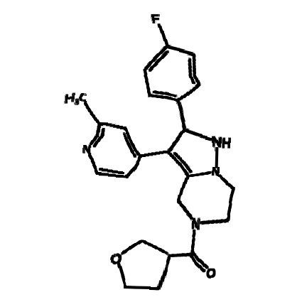 Cc1cc(C2=C3CN(C(=O)C4CCOC4)CCN3NC2c2ccc(F)cc2)ccn1